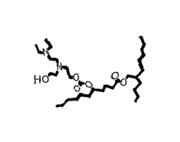 CCCCCCC(CCCC)COC(=O)CCCC(CCCCCC)OC(=O)OCCN(CCO)CCN(CC)CC